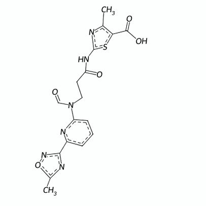 Cc1nc(-c2cccc(N(C=O)CCC(=O)Nc3nc(C)c(C(=O)O)s3)n2)no1